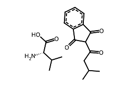 CC(C)CC(=O)C1C(=O)c2ccccc2C1=O.CC(C)[C@H](N)C(=O)O